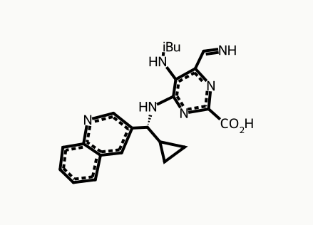 CCC(C)Nc1c(C=N)nc(C(=O)O)nc1N[C@@H](c1cnc2ccccc2c1)C1CC1